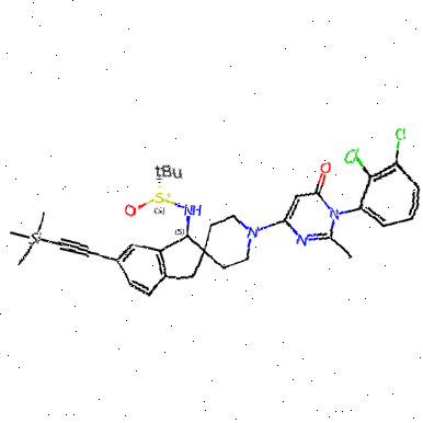 Cc1nc(N2CCC3(CC2)Cc2ccc(C#C[Si](C)(C)C)cc2[C@H]3N[S@+]([O-])C(C)(C)C)cc(=O)n1-c1cccc(Cl)c1Cl